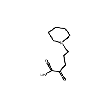 C=C(CCCN1CCCCC1)C(=O)O